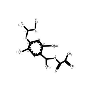 C=C(C)C(=O)OC(C)c1cc(C)c(OC(C)OCC)cc1OC